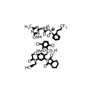 C#CCN1C(=O)COc2cc(F)c(N3C(=O)C4=C(CCCC4)C3=O)cc21.COc1c(Cl)ccc(Cl)c1C(=O)O.COc1nc(C)nc(NC(=O)NS(=O)(=O)c2ccccc2CCC(F)(F)F)n1